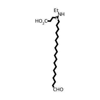 CCNN(CCCCCCCCCCCCCCCCCCC=O)CCC(=O)O